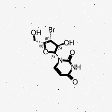 O=c1ccn([C@@H]2O[C@H](CO)[C@H](Br)[C@H]2O)c(=O)[nH]1